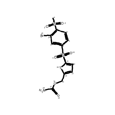 CS(=O)(=O)c1ccc(S(=O)(=O)c2ccc(COC(N)=O)s2)cc1Br